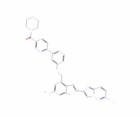 COc1cc(COc2cccc(-c3ccc(C(=O)N4CCNCC4)cn3)c2)c2cc(-c3cn4nc(C)ccc4n3)oc2c1